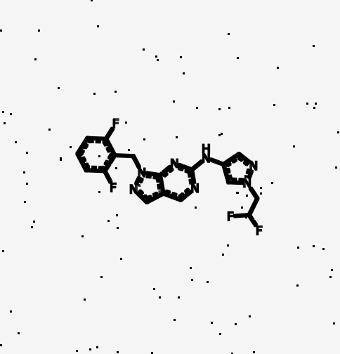 Fc1cccc(F)c1Cn1ncc2cnc(Nc3cnn(CC(F)F)c3)nc21